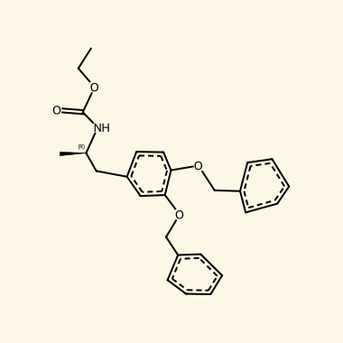 CCOC(=O)N[C@H](C)Cc1ccc(OCc2ccccc2)c(OCc2ccccc2)c1